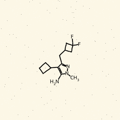 Cn1nc(CC2CC(F)(F)C2)c(C2CCC2)c1N